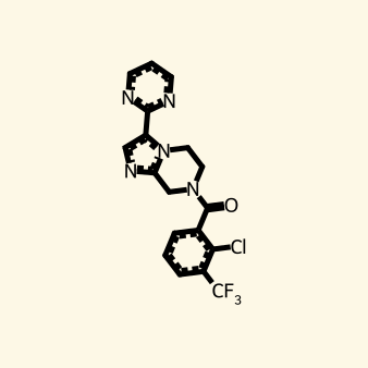 O=C(c1cccc(C(F)(F)F)c1Cl)N1CCn2c(-c3ncccn3)cnc2C1